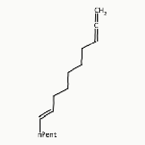 C=C=CCCCCCC=CCCCCC